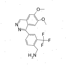 COc1cc2cnnc(-c3ccc(CN)c(C(F)(F)F)c3)c2cc1OC